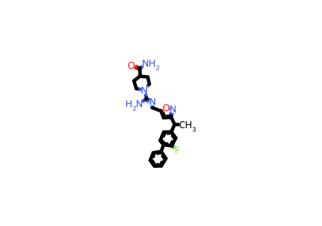 CC(c1ccc(-c2ccccc2)c(F)c1)c1cc(C/N=C(\N)N2CCC(C(N)=O)CC2)on1